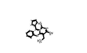 CCC1=C(Sc2ccccc2)N(CC2CC=CC2)C(O)N=C1O